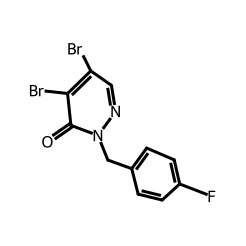 O=c1c(Br)c(Br)cnn1Cc1ccc(F)cc1